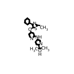 CCc1nc(-c2ccccc2)c(Oc2ccnc(Nc3ccc(C(C)(C)O)nc3)c2)s1